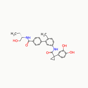 CC[C@@H](CO)NC(=O)c1ccc(-c2cc(NC(=O)C3(c4ccc(O)c(O)c4)CC3)ccc2C)cc1